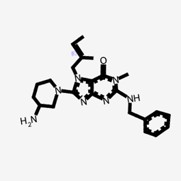 C/C=C(\C)Cn1c(N2CCCC(N)C2)nc2nc(NCc3ccccc3)n(C)c(=O)c21